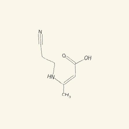 CC(=CC(=O)O)NCCC#N